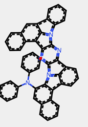 c1ccc(N(c2ccccc2)c2cc3ccccc3c3c4cccc5c6nc7c(nc6n(c23)c54)c2c3ccccc3cc3c4ccccc4n7c32)cc1